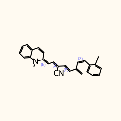 C=C(/C=C\c1ccccc1C)/C=C/C(C#N)=C/C=C1\C=Cc2ccccc2N1C